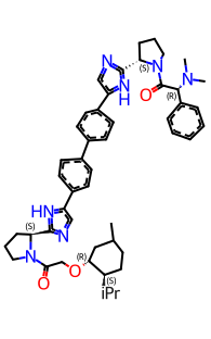 CC1CC[C@@H](C(C)C)[C@H](OCC(=O)N2CCC[C@H]2c2ncc(-c3ccc(-c4ccc(-c5cnc([C@@H]6CCCN6C(=O)[C@@H](c6ccccc6)N(C)C)[nH]5)cc4)cc3)[nH]2)C1